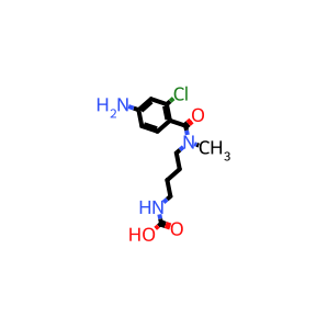 CN(CCCCNC(=O)O)C(=O)c1ccc(N)cc1Cl